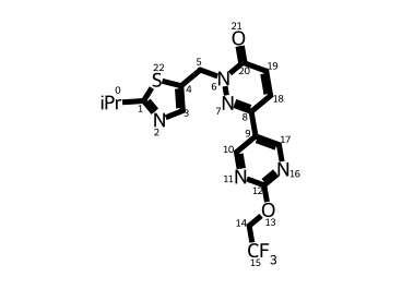 CC(C)c1ncc(Cn2nc(-c3cnc(OCC(F)(F)F)nc3)ccc2=O)s1